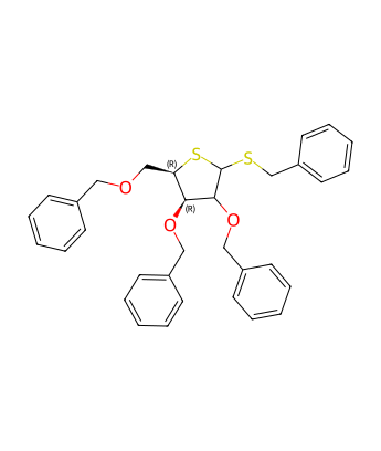 c1ccc(COC[C@H]2SC(SCc3ccccc3)C(OCc3ccccc3)[C@H]2OCc2ccccc2)cc1